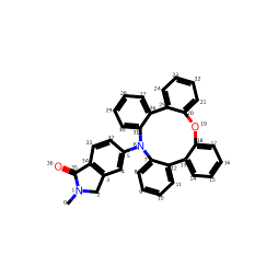 CN1Cc2cc(N3c4ccccc4-c4ccccc4Oc4ccccc4-c4ccccc43)ccc2C1=O